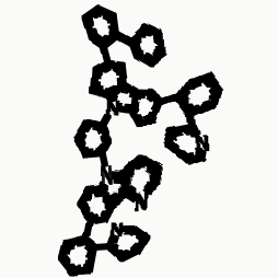 c1ccc(-c2ccccc2-c2ccc3c(c2)c2cc(-c4ccccc4-c4ccccn4)ccc2n3-c2cccc(-n3c4ccc(-c5ccccc5-c5ccccn5)cc4c4ncccc43)c2)cc1